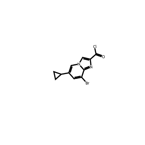 O=C(Cl)c1cn2cc(C3CC3)cc(Br)c2n1